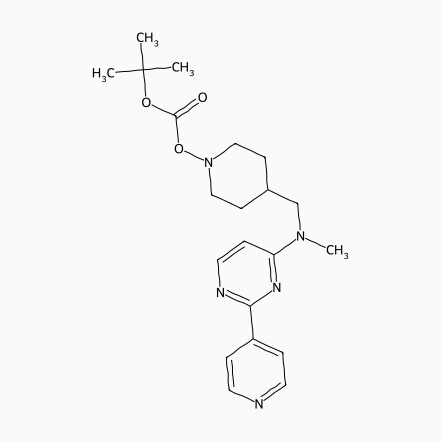 CN(CC1CCN(OC(=O)OC(C)(C)C)CC1)c1ccnc(-c2ccncc2)n1